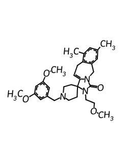 COCCN1C(=O)N2Cc3cc(C)cc(C)c3CC=C2C12CCN(Cc1cc(OC)cc(OC)c1)CC2